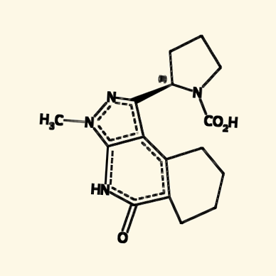 Cn1nc([C@H]2CCCN2C(=O)O)c2c3c(c(=O)[nH]c21)CCCC3